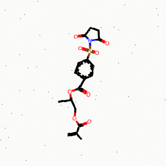 C=C(C)C(=O)OCC(C)OC(=O)c1ccc(S(=O)(=O)N2C(=O)CCC2=O)cc1